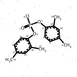 Cc1ccc(OP(=O)(Cl)Oc2ccc(C)cc2C)c(C)c1